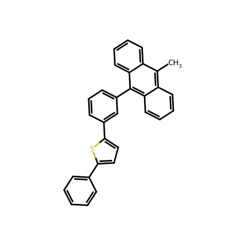 Cc1c2ccccc2c(-c2cccc(-c3ccc(-c4ccccc4)s3)c2)c2ccccc12